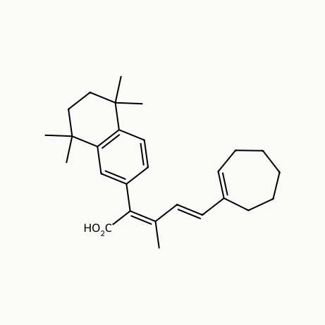 CC(C=CC1=CCCCCC1)=C(C(=O)O)c1ccc2c(c1)C(C)(C)CCC2(C)C